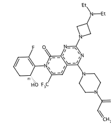 C=CC(=O)N1CCN(c2nc(N3CC(N(CC)CC)C3)nc3c(=O)n(C4=C(F)C=CC[C@H]4O)c(C(F)(F)F)cc23)CC1